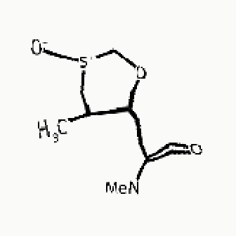 CNC(=O)C1OC[S+]([O-])C1C